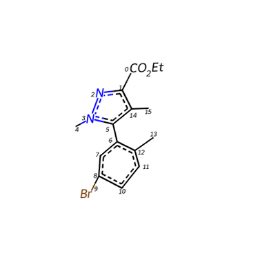 CCOC(=O)c1nn(C)c(-c2cc(Br)ccc2C)c1C